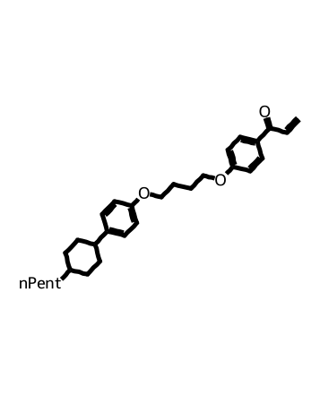 C=CC(=O)c1ccc(OCCCCOc2ccc(C3CCC(CCCCC)CC3)cc2)cc1